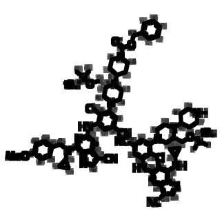 CC(C)(C)[Si](C)(C)OC[C@H]1CN(c2cc(C#N)cc(Nc3nc(NC4CC4)n4ncc(C#N)c4n3)c2Cl)CCN1C1CCNCC1.COc1ccc(CN(c2nc(Nc3cc(C#N)cc(N4CCN(C5CCN(C(=O)OCc6ccccc6)CC5)[C@@H](CO[Si](C)(C)C(C)(C)C)C4)c3Cl)nc3c(C#N)cnn23)C2CC2)cc1